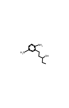 CCC(O)CCc1cc(N)ccc1N